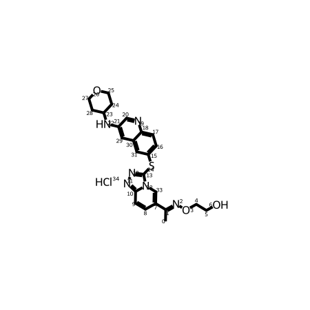 CC(=NOCCO)c1ccc2nnc(Sc3ccc4ncc(NC5CCOCC5)cc4c3)n2c1.Cl